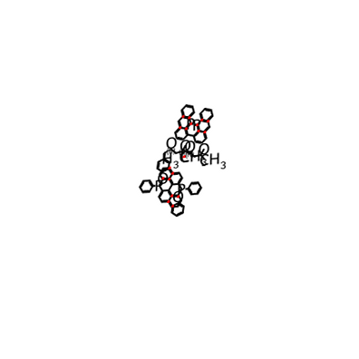 CC1C[C@@H](C)Oc2c(ccc(P(c3ccccc3)c3ccccc3)c2-c2c(P(c3ccccc3)c3ccccc3)ccc3c2O[C@H](C)C[C@@H](Cc2ccc4oc5c(-c6c(P(c7ccccc7)c7ccccc7)ccc7c6oc6ccccc67)c(P(c6ccccc6)c6ccccc6)ccc5c4c2)O3)O1